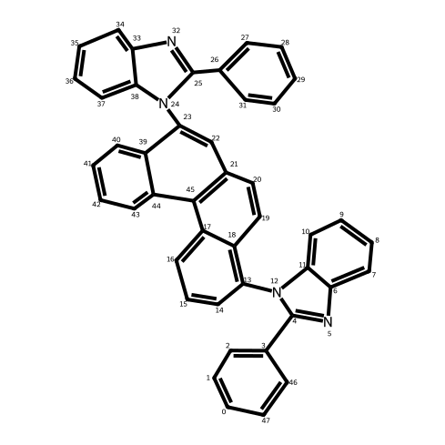 c1ccc(-c2nc3ccccc3n2-c2cccc3c2ccc2cc(-n4c(-c5ccccc5)nc5ccccc54)c4ccccc4c23)cc1